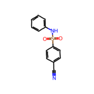 N#Cc1ccc(S(=O)(=O)Nc2c[c]ccc2)cc1